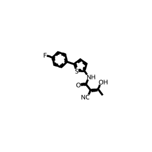 CC(O)=C(C#N)C(=O)Nc1ccc(-c2ccc(F)cc2)s1